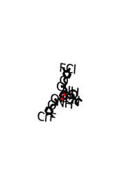 CCN(CC)C(=O)O[C@H]1CC2(NC(=O)COc3ccc(Cl)c(F)c3)CCC1(NC(=O)COc1ccc(Cl)c(F)c1)CC2